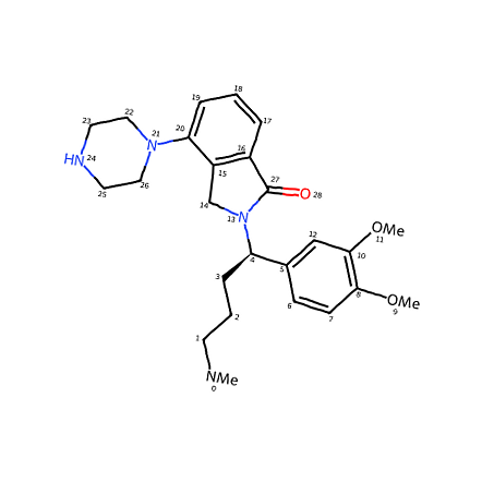 CNCCC[C@H](c1ccc(OC)c(OC)c1)N1Cc2c(cccc2N2CCNCC2)C1=O